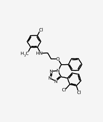 Cc1ccc(Cl)cc1NCCOC(c1ccccc1)n1nnnc1-c1cccc(Cl)c1Cl